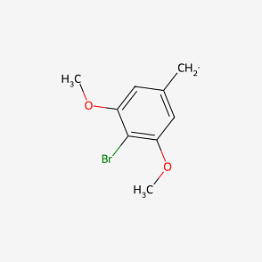 [CH2]c1cc(OC)c(Br)c(OC)c1